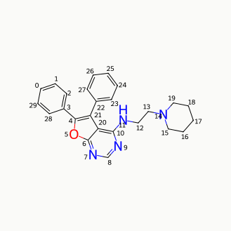 c1ccc(-c2oc3ncnc(NCCN4CCCCC4)c3c2-c2ccccc2)cc1